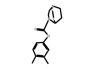 Cc1ccc(OC(=O)N2CCN3CCC2CC3)cc1C